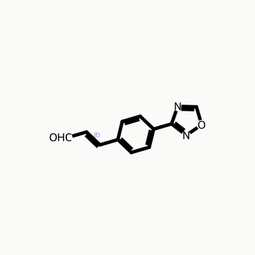 O=C/C=C/c1ccc(-c2ncon2)cc1